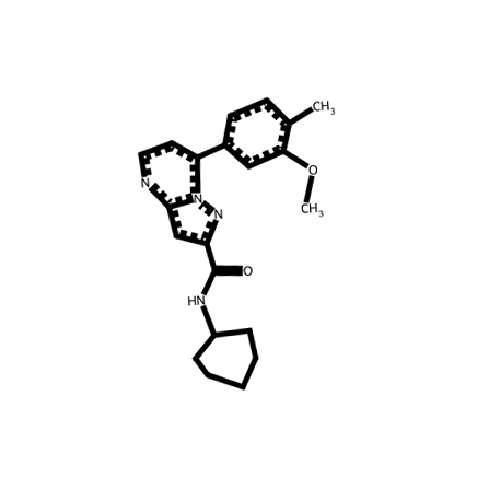 COc1cc(-c2ccnc3cc(C(=O)NC4CCCCC4)nn23)ccc1C